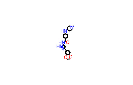 CN1CCC(Nc2ccc(C(=O)Nc3cc(-c4ccc5c(c4)OCCO5)n[nH]3)cc2)CC1